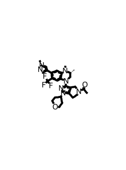 CC(=O)N1CCc2c(c(N3C[C@@H](C)N(C)c4cc(-c5cnn(C)c5)c(C(F)(F)F)cc43)nn2C2CCOCC2)C1